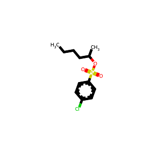 CCCCC(C)OS(=O)(=O)c1ccc(Cl)cc1